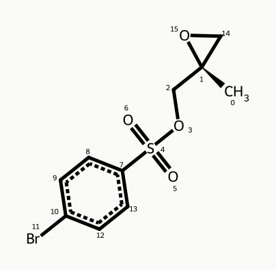 C[C@]1(COS(=O)(=O)c2ccc(Br)cc2)CO1